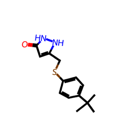 CC(C)(C)c1ccc(SCc2cc(=O)[nH][nH]2)cc1